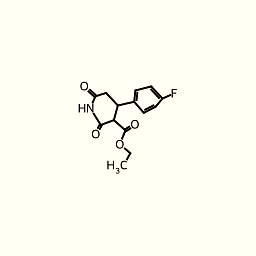 CCOC(=O)C1C(=O)NC(=O)CC1c1ccc(F)cc1